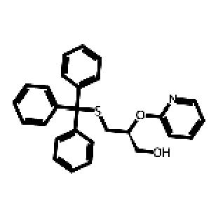 OC[C@@H](CSC(c1ccccc1)(c1ccccc1)c1ccccc1)Oc1ccccn1